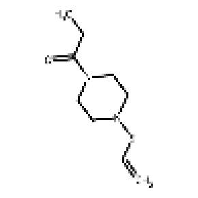 C=CSN1CCN(C(=O)CC)CC1